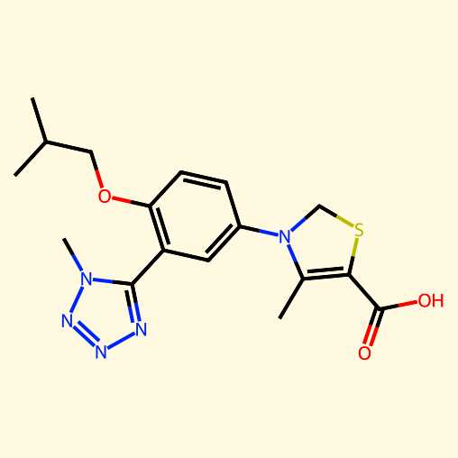 CC1=C(C(=O)O)SCN1c1ccc(OCC(C)C)c(-c2nnnn2C)c1